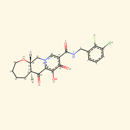 O=C(NCc1cccc(Cl)c1F)c1cn2c(c(O)c1=O)C(=O)[C@H]1CCCCO[C@@H]1C2